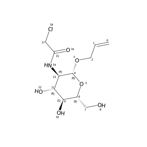 C=CCO[C@@H]1O[C@H](CO)[C@@H](O)[C@H](O)[C@H]1NC(=O)CCl